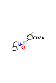 COc1cc(/C=C/C(=O)N2CCc3ccccc32)ccc1C